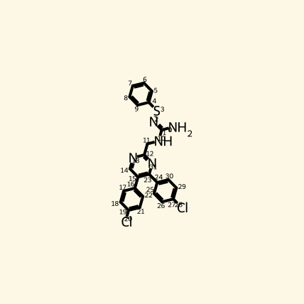 N/C(=N\Sc1ccccc1)NCc1ncc(-c2ccc(Cl)cc2)c(-c2ccc(Cl)cc2)n1